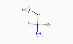 CC(C)[C@@](C)(N)CC(=O)O